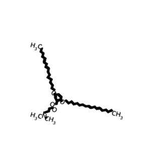 CCCCC/C=C/C/C=C/CCCCCCCCOc1ccc(OCCCCCCCC/C=C/C/C=C/CCCCC)c(COC(=O)CCCN(C)C)c1